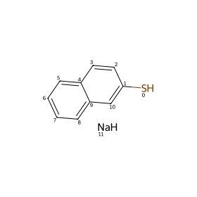 Sc1ccc2ccccc2c1.[NaH]